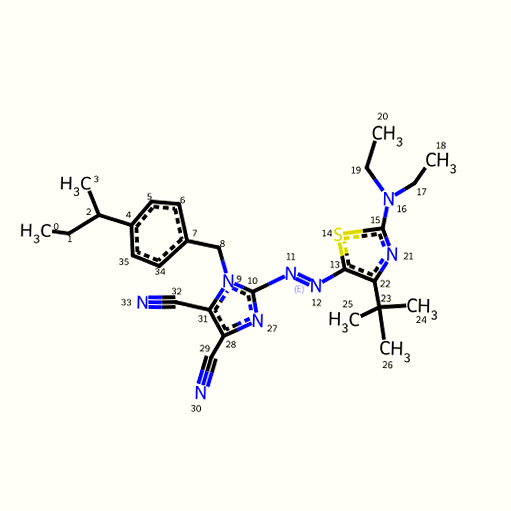 CCC(C)c1ccc(Cn2c(/N=N/c3sc(N(CC)CC)nc3C(C)(C)C)nc(C#N)c2C#N)cc1